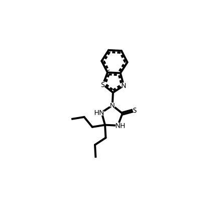 CCCC1(CCC)NC(=S)N(c2nc3ccccc3s2)N1